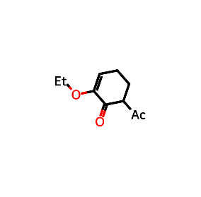 CCOC1=CCCC(C(C)=O)C1=O